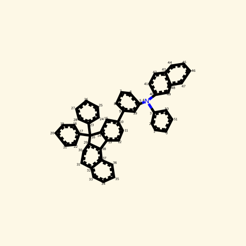 c1ccc(N(c2cccc(-c3ccc4c(c3)C(c3ccccc3)(c3ccccc3)c3ccc5ccccc5c3-4)c2)c2ccc3ccccc3c2)cc1